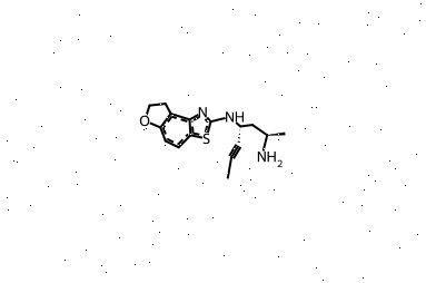 CC#C[C@@H](C[C@@H](C)N)Nc1nc2c3c(ccc2s1)OCC3